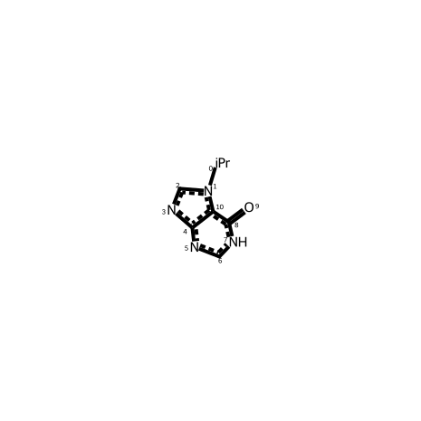 CC(C)n1cnc2nc[nH]c(=O)c21